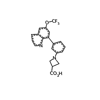 O=C(O)C1CN(c2cccc(-c3cc(OC(F)(F)F)cc4cccnc34)c2)C1